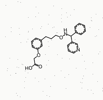 O=C(O)COc1cccc(CCCONC(c2ccccc2)c2cccnc2)c1